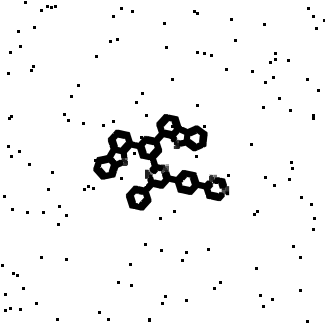 c1ccc(-c2cc(-c3ccc(-c4ccncn4)cc3)nc(-c3cc(-c4cccc5c4sc4ccccc45)cc(-c4cccc5c4sc4ccccc45)c3)n2)cc1